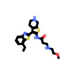 CCc1cccc2nc(-c3c(NC(=O)CCNCCOC)sc4c3CCNC4)sc12